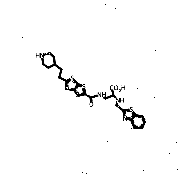 O=C(NCC(NCc1nc2ccccc2s1)C(=O)O)c1cc2cc(CCC3CCNCC3)sc2s1